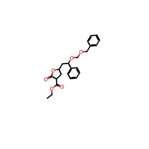 CCOC(=O)C1CC(CC(OCOCc2ccccc2)c2ccccc2)OC1=O